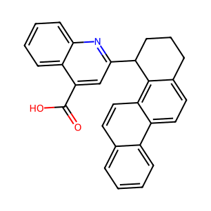 O=C(O)c1cc(C2CCCc3ccc4c(ccc5ccccc54)c32)nc2ccccc12